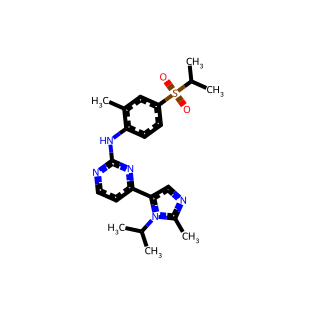 Cc1cc(S(=O)(=O)C(C)C)ccc1Nc1nccc(-c2cnc(C)n2C(C)C)n1